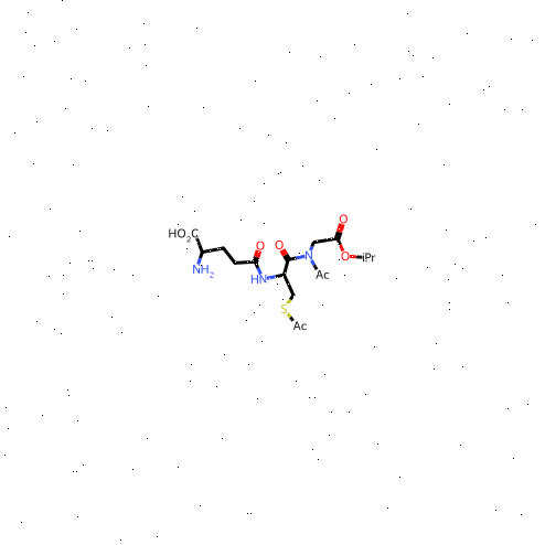 CC(=O)SCC(NC(=O)CCC(N)C(=O)O)C(=O)N(CC(=O)OC(C)C)C(C)=O